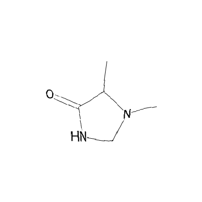 CC1C(=O)NCN1C